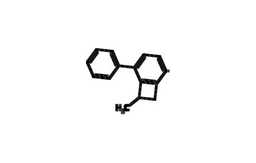 CC1Cc2[c]ccc(-c3ccccc3)c21